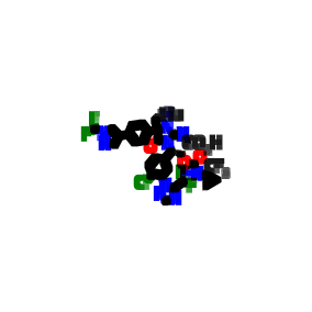 CC(C)(C)CC1(c2ccc(-c3cnn(C(F)F)c3)cc2)NC(=NC(=O)O)N([C@H](COC(=O)NC2(C(F)(F)F)CC2)c2ccc(Cl)c(-n3ncnc3C(F)F)c2)C1=O